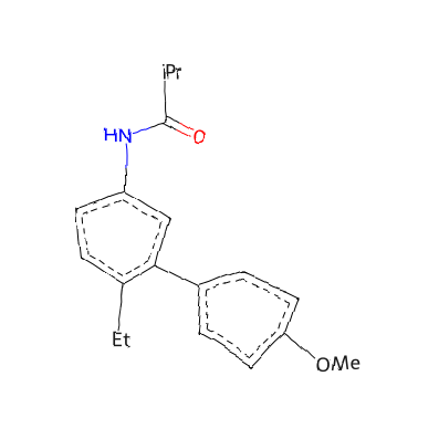 CCc1ccc(NC(=O)C(C)C)cc1-c1ccc(OC)cc1